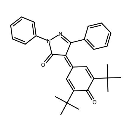 CC(C)(C)C1=CC(=C2C(=O)N(c3ccccc3)N=C2c2ccccc2)C=C(C(C)(C)C)C1=O